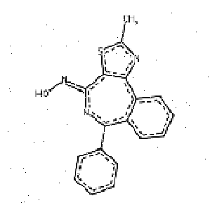 Cc1nc2c(s1)/c(=N/O)nc(-c1ccccc1)c1ccccc12